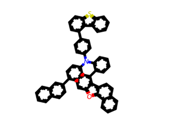 c1ccc(N(c2ccc(-c3ccc4ccccc4c3)cc2)c2ccc(-c3cccc4sc5ccccc5c34)cc2)c(-c2cccc3oc4c5ccccc5ccc4c23)c1